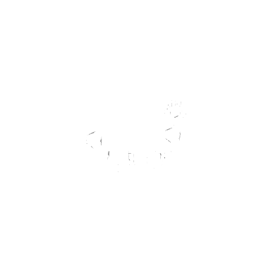 CC(C)(C)OC(=O)c1ccc(CN2CCC(CNC3CC3C=Cc3ccccc3)CC2)cc1